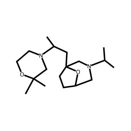 CC(C)N1CC2CCC(CC(C)N3CCOC(C)(C)C3)(C1)O2